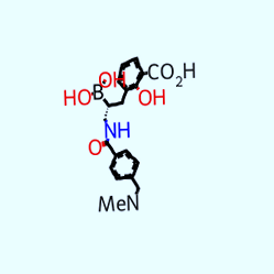 CNCc1ccc(C(=O)NC[C@@H](Cc2cccc(C(=O)O)c2O)B(O)O)cc1